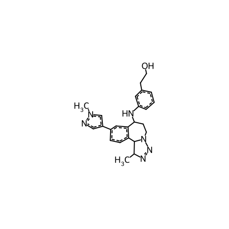 CC1N=NN2CCC(Nc3cccc(CCO)c3)c3cc(-c4cnn(C)c4)ccc3C12